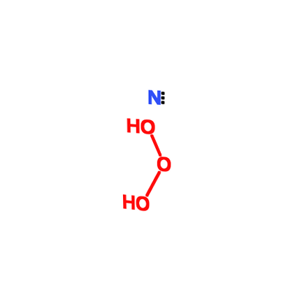 OOO.[N]